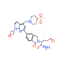 CNC(=O)C(CCC=O)N1Cc2cc(-c3cc(CN4CCC(S(C)(=O)=O)CC4)c4ccn(C5COC5)c4n3)ccc2C1=O